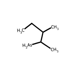 CCC(C)C(C)[AsH2]